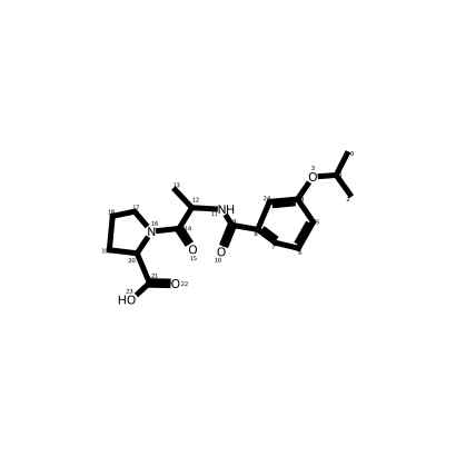 CC(C)Oc1cccc(C(=O)NC(C)C(=O)N2CCCC2C(=O)O)c1